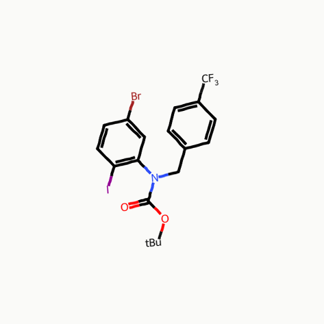 CC(C)(C)OC(=O)N(Cc1ccc(C(F)(F)F)cc1)c1cc(Br)ccc1I